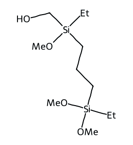 CC[Si](CO)(CCC[Si](CC)(OC)OC)OC